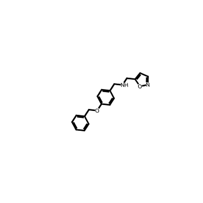 c1ccc(COc2ccc(CNCc3ccno3)cc2)cc1